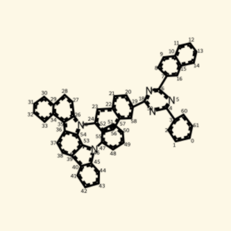 c1ccc(-c2nc(-c3ccc4ccccc4c3)nc(-c3ccc4cc(-n5c6ccc7ccccc7c6c6ccc7c8ccccc8n(-c8ccccc8)c7c65)ccc4c3)n2)cc1